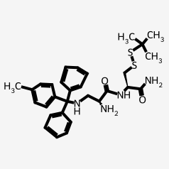 Cc1ccc(C(NC[C@H](N)C(=O)N[C@@H](CSSC(C)(C)C)C(N)=O)(c2ccccc2)c2ccccc2)cc1